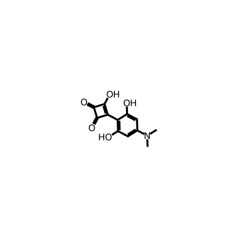 CN(C)c1cc(O)c(-c2c(O)c(=O)c2=O)c(O)c1